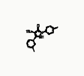 Cc1ccc(-n2[nH]c(-c3cccc(C)c3)c(C(C)(C)C)c2=O)cc1